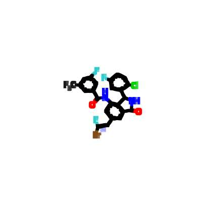 O=C(Nc1cc(/C=C(\F)Br)cc2c1C(c1cc(F)ccc1Cl)NC2=O)c1cc(F)cc(C(F)(F)F)c1